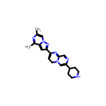 Cc1cn2nc(C3=CCN4C=C(C5CCNCC5)N=CC4=N3)cc2c(C)n1